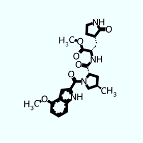 COC(=O)[C@H](C[C@@H]1CCNC1=O)NC(=O)[C@@H]1C[C@@H](C)CN1C(=O)c1cc2c(OC)cccc2[nH]1